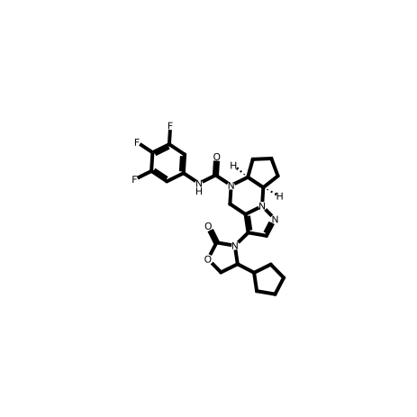 O=C1OCC(C2CCCC2)N1c1cnn2c1CN(C(=O)Nc1cc(F)c(F)c(F)c1)[C@H]1CCC[C@H]12